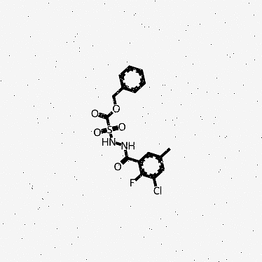 Cc1cc(Cl)c(F)c(C(=O)NNS(=O)(=O)C(=O)OCc2ccccc2)c1